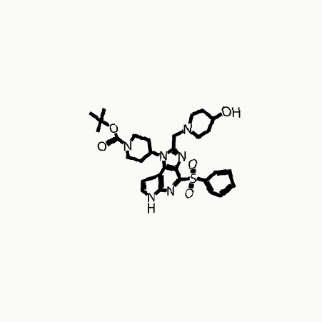 CC(C)(C)OC(=O)N1CCC(n2c(CN3CCC(O)CC3)nc3c(S(=O)(=O)c4ccccc4)nc4[nH]ccc4c32)CC1